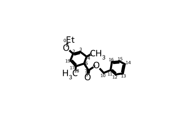 CCOC1=CC(C)C(C(=O)OCc2ccccc2)C(C)=C1